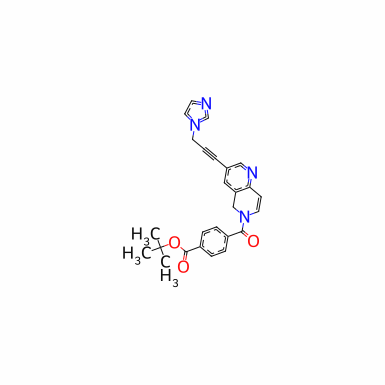 CC(C)(C)OC(=O)c1ccc(C(=O)N2C=Cc3ncc(C#CCn4ccnc4)cc3C2)cc1